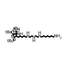 CC(C)(C)OC(=O)C(CCCCCNCCNCCNCCCCCCCN)C(N)(C(=O)OC(C)(C)C)C(=O)OC(C)(C)C